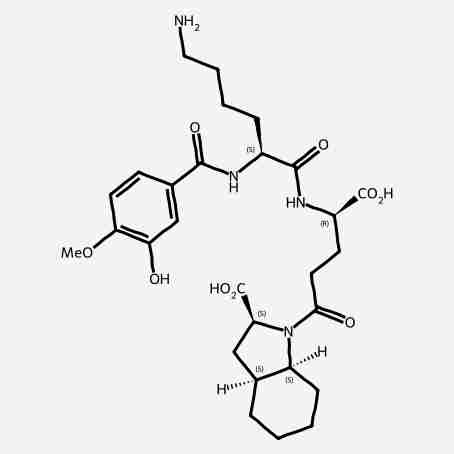 COc1ccc(C(=O)N[C@@H](CCCCN)C(=O)N[C@H](CCC(=O)N2[C@H](C(=O)O)C[C@@H]3CCCC[C@@H]32)C(=O)O)cc1O